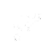 CC(CC1(C(=O)C2(CC(C)c3ccncc3)CC2)CC1)c1ccncc1